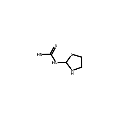 S=C(S)NC1NCCS1